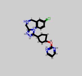 Clc1ccc2c(c1)CNCc1nnc(C3CCC(Oc4ncccn4)CC3)n1-2